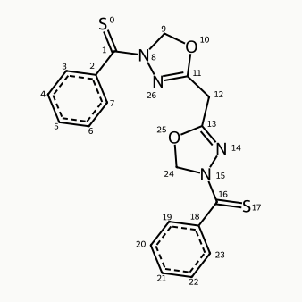 S=C(c1ccccc1)N1COC(CC2=NN(C(=S)c3ccccc3)CO2)=N1